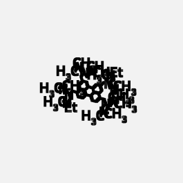 CCN(C)CN(Cc1cc2c(CN(CN(C)C)CN(C)C)ccc3c4ccc(CN(CN(C)C)CN(C)CC)c5cc(CN(CN(C)C)CN(C)C)cc(c(c1)c23)c54)CN(C)C